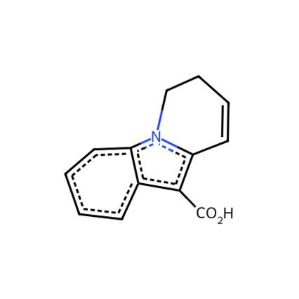 O=C(O)c1c2n(c3ccccc13)CCC=C2